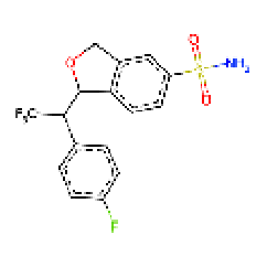 NS(=O)(=O)c1ccc2c(c1)COC2C(c1ccc(F)cc1)C(F)(F)F